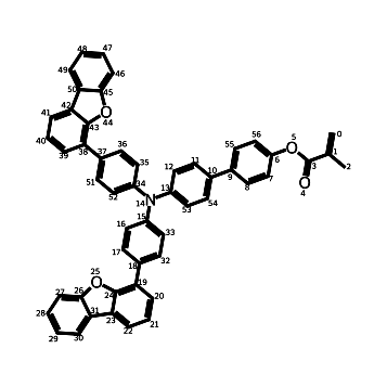 C=C(C)C(=O)Oc1ccc(-c2ccc(N(c3ccc(-c4cccc5c4oc4ccccc45)cc3)c3ccc(-c4cccc5c4oc4ccccc45)cc3)cc2)cc1